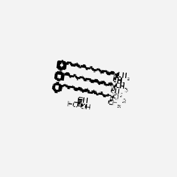 CN(C)CCCCCCCCCCCCCc1ccccc1.CN(C)CCCCCCCCCCCCCc1ccccc1.CN(C)CCCCCCCCCCCCCc1ccccc1.OB(O)O